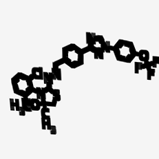 Cc1cccc(Cl)c1N1C(=NN=Cc2ccc(-c3ncn(-c4ccc(OC(F)(F)F)cc4)n3)cc2)SCC1(C)O